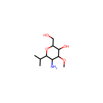 COC1C(N)C(C(C)C)OC(CO)C1O